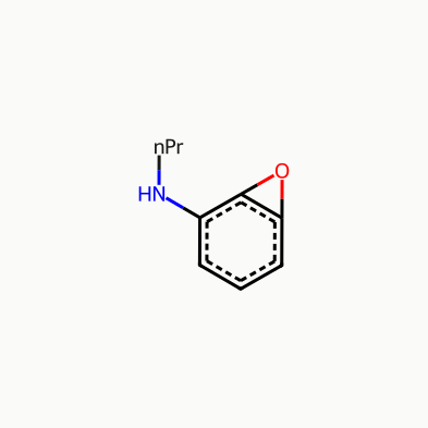 CCCNc1cccc2c1O2